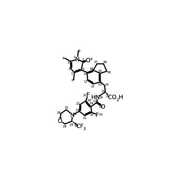 Cc1cc(C)n(C)c(=O)c1-c1ccc(C[C@H](NC(=O)c2c(F)cc(N3CCOC[C@@H]3C(F)(F)F)cc2F)C(=O)O)c2c1CCC2